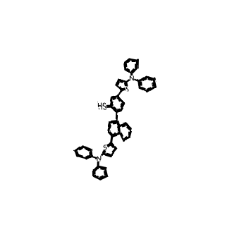 Sc1cc(-c2ccc(N(c3ccccc3)c3ccccc3)s2)ccc1-c1ccc(-c2ccc(N(c3ccccc3)c3ccccc3)s2)c2ccccc12